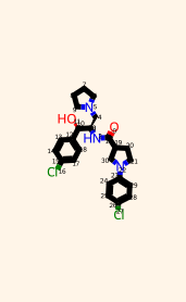 O=C(N[C@H](CN1CCCC1)[C@H](O)c1ccc(Cl)cc1)C1CCN(c2ccc(Cl)cc2)C1